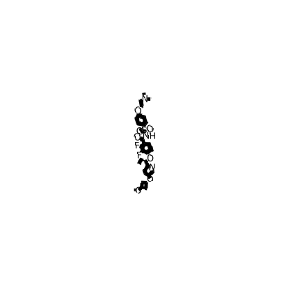 CC[C@@H](Oc1ccc(C(=O)NS(=O)(=O)c2ccc(OCCN(C)C)cc2)c(F)c1F)c1ccc(OC2CC(OC)C2)cn1